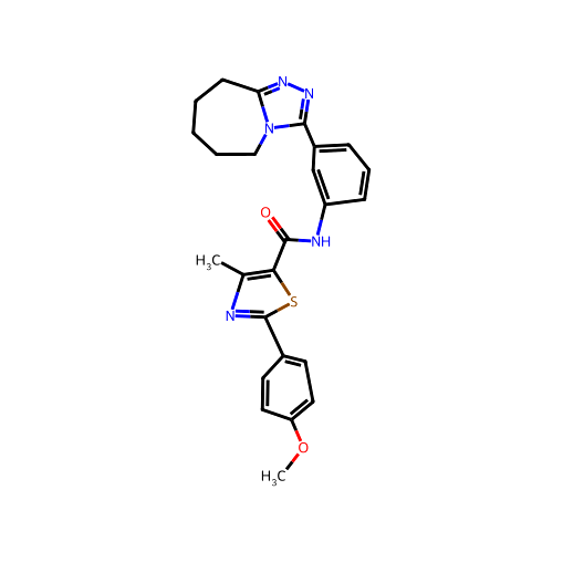 COc1ccc(-c2nc(C)c(C(=O)Nc3cccc(-c4nnc5n4CCCCC5)c3)s2)cc1